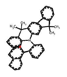 CC1(C)c2ccccc2-c2cc3c(cc21)N(c1ccccc1-c1cccc2ccccc12)c1ccccc1C3(C)C